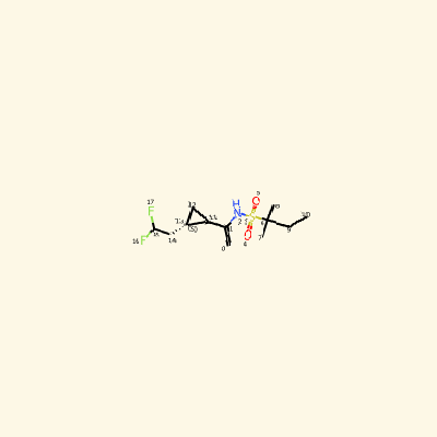 C=C(NS(=O)(=O)C(C)(C)CC)C1C[C@H]1CC(F)F